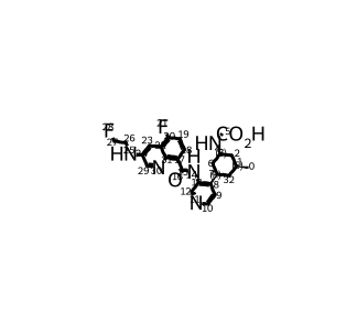 C[C@@H]1C[C@H](NC(=O)O)C[C@H](c2ccncc2NC(=O)c2ccc(F)c3cc(NCCF)cnc23)C1